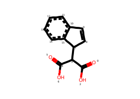 O=C(O)C(C(=O)O)C1C=Cc2ccccc21